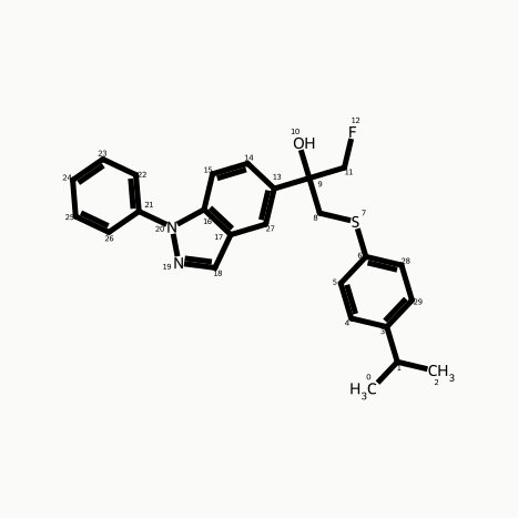 CC(C)c1ccc(SCC(O)(CF)c2ccc3c(cnn3-c3ccccc3)c2)cc1